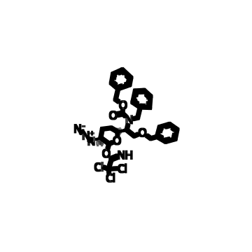 [N-]=[N+]=N[C@@H]1CC[C@@H](C(COCc2ccccc2)N(Cc2ccccc2)C(=O)OCc2ccccc2)OC1OC(=N)C(Cl)(Cl)Cl